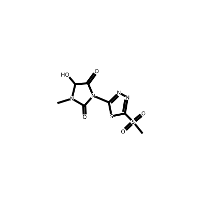 CN1C(=O)N(c2nnc(S(C)(=O)=O)s2)C(=O)C1O